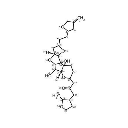 C=C1COC(CC[C@@H]2C[C@H]3OC4C(O)[C@H]5OC(CC(=O)CC6CCO[C@H]6C)CCC5C4(O)C3O2)C1